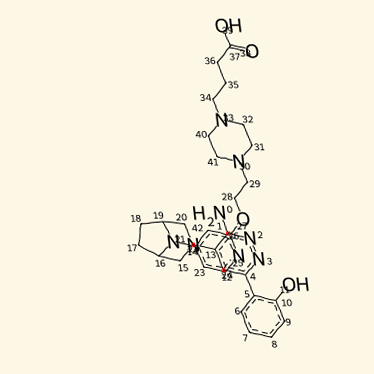 Nc1nnc(-c2ccccc2O)cc1N1CC2CCC(C1)N2c1ccnc(OCCN2CCN(CCCC(=O)O)CC2)c1